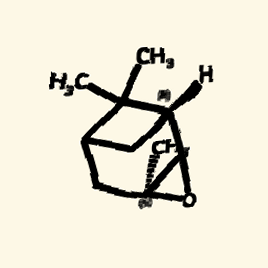 CC1(C)C2C[C@H]1C1O[C@@]1(C)C2